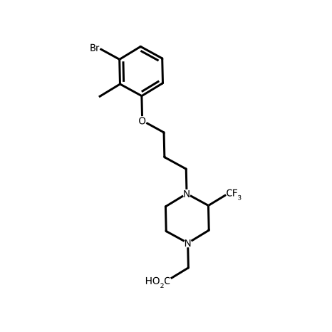 Cc1c(Br)cccc1OCCCN1CCN(CC(=O)O)CC1C(F)(F)F